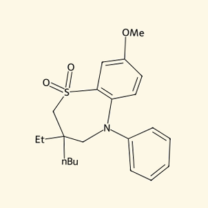 CCCCC1(CC)CN(c2ccccc2)c2ccc(OC)cc2S(=O)(=O)C1